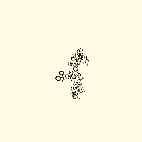 COC(=O)NC(C(=O)N1CCC[C@H]1c1nc2cc([C@H]3CC[C@H](c4cc5nc([C@@H]6CCCN6C(=O)C(NC(=O)OC)C(C)C)[nH]c5cc4F)N3c3cc(F)c(N4CCC(C(F)(c5ccccc5)c5ccccc5)CC4)c(F)c3)c(F)cc2[nH]1)C(C)C